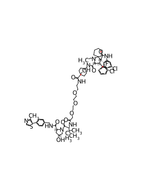 CCN1[C@@H](C(=O)NC23CCC(C(=O)NCCOCCOCCOCC(=O)NC(C(=O)N4C[C@H](O)C[C@H]4C(=O)NCc4ccc(-c5scnc5C)cc4)C(C)(C)C)(CC2)CC3)[C@H](c2cccc(Cl)c2F)[C@]2(C(=O)Nc3cc(Cl)ccc32)C12CCCCC2